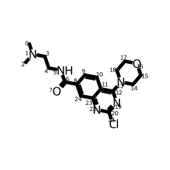 CN(C)CCNC(=O)c1ccc2c(N3CCOCC3)nc(Cl)nc2c1